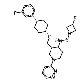 Fc1cccc([C@H]2CC[C@@H](OCC3CN(c4cccnn4)CCC3NSN3CC(F)C3)CC2)c1